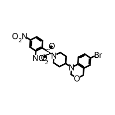 O=[N+]([O-])c1ccc(S(=O)(=O)N2CCC(N3COCc4cc(Br)ccc43)CC2)c([N+](=O)[O-])c1